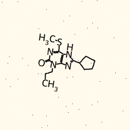 CCCn1c(=O)nc(SC)c2[nH]c(C3CCCC3)nc21